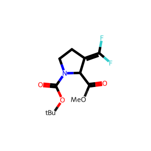 COC(=O)C1C(=C(F)F)CCN1C(=O)OC(C)(C)C